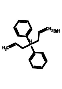 Br.C=CC[PH](CC=C)(c1ccccc1)c1ccccc1